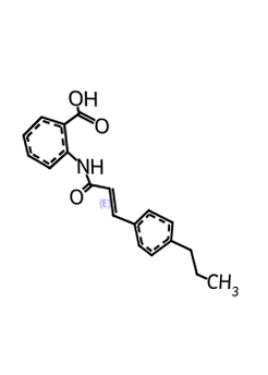 CCCc1ccc(/C=C/C(=O)Nc2ccccc2C(=O)O)cc1